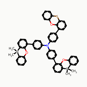 C[Si]1(C)c2ccccc2Oc2c(-c3ccc(N(c4ccc(-c5cccc6c5Oc5ccccc5S6)cc4)c4ccc(-c5cccc6c5Oc5ccccc5[Si]6(C)C)cc4)cc3)cccc21